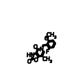 COc1cccc(F)c1Cn1cc(C)c2oc(=O)[nH]c2c1=O